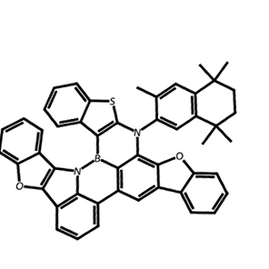 Cc1cc2c(cc1N1c3sc4ccccc4c3B3c4c(cc5c(oc6ccccc65)c41)-c1cccc4c5oc6ccccc6c5n3c14)C(C)(C)CCC2(C)C